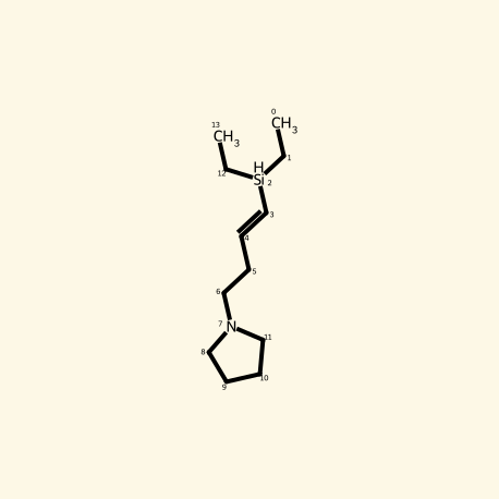 CC[SiH](C=CCCN1CCCC1)CC